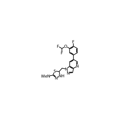 CNC1=NNC(Cn2ncc3ncc(-c4ccc(F)c(OC(F)F)c4)cc32)S1